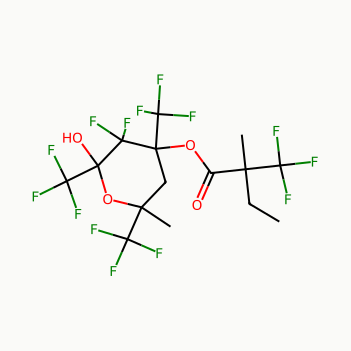 CCC(C)(C(=O)OC1(C(F)(F)F)CC(C)(C(F)(F)F)OC(O)(C(F)(F)F)C1(F)F)C(F)(F)F